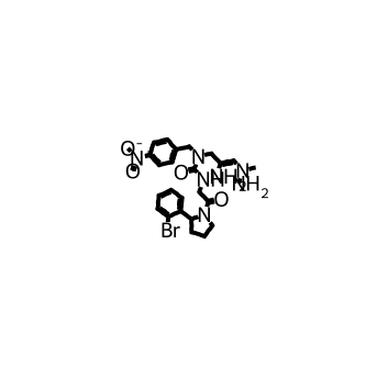 CN(N)/C=C(\N)CN(Cc1ccc([N+](=O)[O-])cc1)C(=O)NCC(=O)N1CCCC1c1ccccc1Br